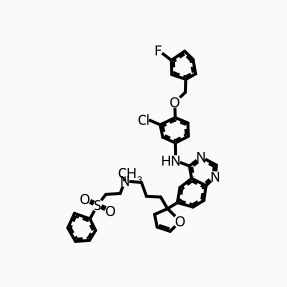 CN(CCCC1(c2ccc3ncnc(Nc4ccc(OCc5cccc(F)c5)c(Cl)c4)c3c2)CC=CO1)CCS(=O)(=O)c1ccccc1